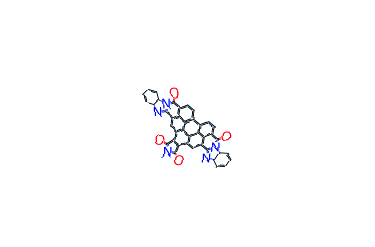 Cn1c(=O)c2c3cc4c5n(c(=O)c6ccc7c8ccc9c(=O)n%10c(c%11cc(c2c1=O)c(c8c9%11)c3c7c64)=NC1C=CC=CC1%10)C1C=CC=CC1N=5